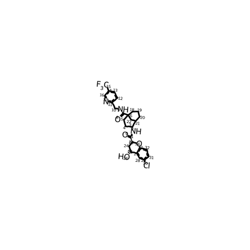 O=C(NC1CCC2(C(=O)NCc3ccc(C(F)(F)F)cn3)CCCC1C2)[C@@H]1C[C@@H](O)c2cc(Cl)ccc2O1